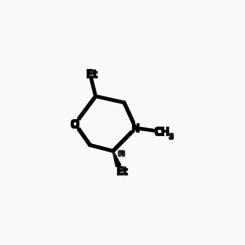 CCC1CN(C)[C@H](CC)CO1